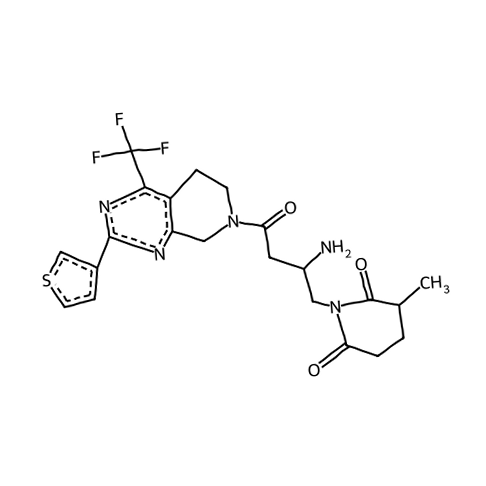 CC1CCC(=O)N(CC(N)CC(=O)N2CCc3c(nc(-c4ccsc4)nc3C(F)(F)F)C2)C1=O